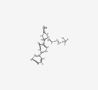 C[Si](C)(C)OCC[C@@H]1CC(=N)CN1c1ccc(-c2ccccc2)cc1